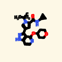 CC(C)n1cc(-c2n[nH]c3ccnc(OC4CCOCC4)c23)cc1C(=O)NC1CC1